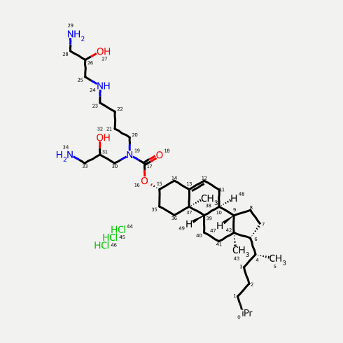 CC(C)CCC[C@@H](C)[C@H]1CC[C@H]2[C@@H]3CC=C4C[C@@H](OC(=O)N(CCCCNCC(O)CN)CC(O)CN)CC[C@]4(C)[C@H]3CC[C@]12C.Cl.Cl.Cl